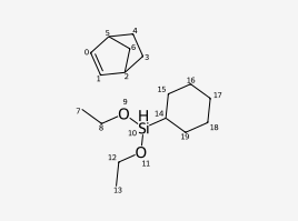 C1=CC2CCC1C2.CCO[SiH](OCC)C1CCCCC1